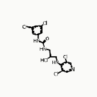 O=C(NCC(O)CNc1c(Cl)cncc1Cl)Nc1cc(Cl)cc(Cl)c1